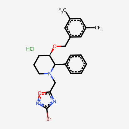 Cl.FC(F)(F)c1cc(CO[C@@H]2CCCN(Cc3nc(Br)no3)[C@@H]2c2ccccc2)cc(C(F)(F)F)c1